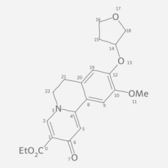 CCOC(=O)c1cn2c(cc1=O)-c1cc(OC)c(OC3CCOC3)cc1CC2